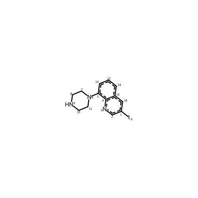 Ic1cnc2c(N3CCNCC3)cccc2c1